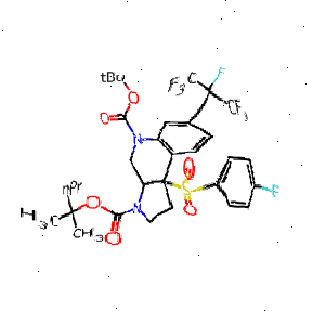 CCCC(C)(C)OC(=O)N1CCC2(S(=O)(=O)c3ccc(F)cc3)c3ccc(C(F)(C(F)(F)F)C(F)(F)F)cc3N(C(=O)OC(C)(C)C)CC12